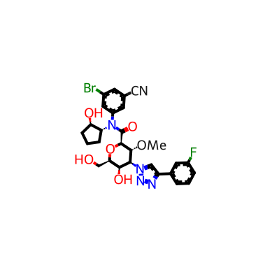 CO[C@@H]1[C@@H](n2cc(-c3cccc(F)c3)nn2)[C@@H](O)[C@@H](CO)O[C@H]1C(=O)N(c1cc(Br)cc(C#N)c1)[C@@H]1CCC[C@H]1O